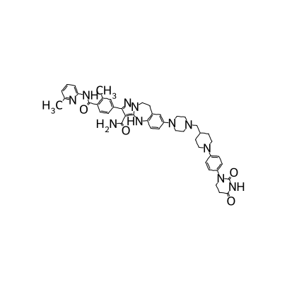 Cc1cccc(NC(=O)c2ccc(-c3nn4c(c3C(N)=O)Nc3ccc(N5CCN(CC6CCN(c7ccc(N8CCC(=O)NC8=O)cc7)CC6)CC5)cc3CC4)cc2C)n1